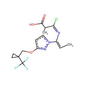 C/C=C(\N=C(\Cl)C(C)C(=O)O)n1ccc(OCC2(C(F)(F)F)CC2)n1